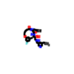 C#CC[C@@H]1NC(=O)CCCCOc2cc(F)cc(c2)C[C@@H]([C@H](O)CNCc2cncc(CC)c2)NC1=O